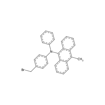 Cc1c2ccccc2c(N(c2ccccc2)c2ccc(CBr)cc2)c2ccccc12